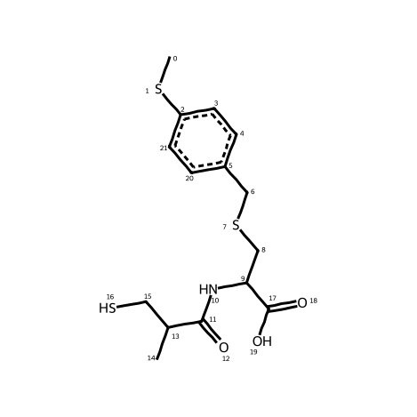 CSc1ccc(CSCC(NC(=O)C(C)CS)C(=O)O)cc1